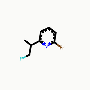 CC(CF)c1cccc(Br)n1